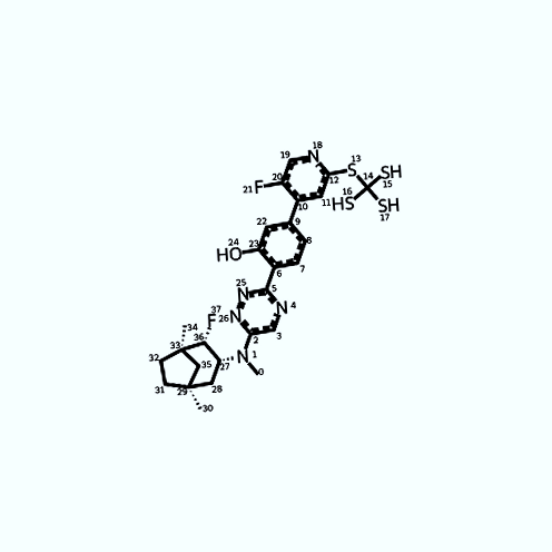 CN(c1cnc(-c2ccc(-c3cc(SC(S)(S)S)ncc3F)cc2O)nn1)[C@@H]1C[C@@]2(C)CC[C@](C)(C2)[C@@H]1F